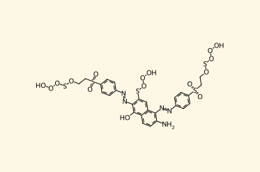 Nc1ccc2c(O)c(/N=N/c3ccc(S(=O)(=O)CCOSOOO)cc3)c(SOOO)cc2c1/N=N/c1ccc(S(=O)(=O)CCOSOOO)cc1